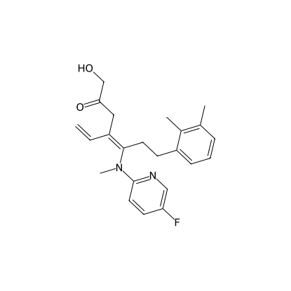 C=C/C(CC(=O)CO)=C(/CCc1cccc(C)c1C)N(C)c1ccc(F)cn1